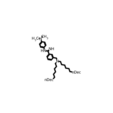 CCCCCCCCCCCCCCCCN(CCCCCCCCCCCCCCCC)Cc1cccc(C(=N)Nc2ccc(N(C)C)cc2)c1